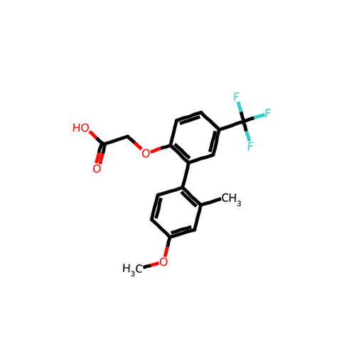 COc1ccc(-c2cc(C(F)(F)F)ccc2OCC(=O)O)c(C)c1